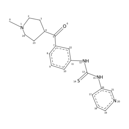 CN1CCC(C(=O)c2cccc(NC(=S)Nc3cccnc3)c2)CC1